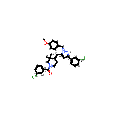 COc1ccc(Cn2nc(-c3cccc(Cl)c3)cc2/C=C2\CCN(C(=O)c3cccc(Cl)c3)CC2(C)C)cc1